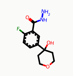 NNC(=O)c1cc(C2(O)CCOCC2)ccc1F